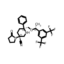 C[C@@H](OC[C@@]1(c2ccccc2)CC[C@@](C#N)(N2CCCC2=O)CN1)c1cc(C(F)(F)F)cc(C(F)(F)F)c1